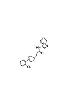 N#Cc1ccccc1N1CCC(CCC(=O)Nc2cnc3cccnn23)CC1